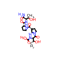 C[C@@H](O)[C@H](NC(=O)[C@H]1CCCN1C(=O)[C@H]1CCN(C(=O)[C@@H](NC(=O)O)[C@@H](C)O)C1)C(N)=O